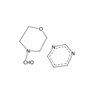 O=CN1CCOCC1.c1cncnc1